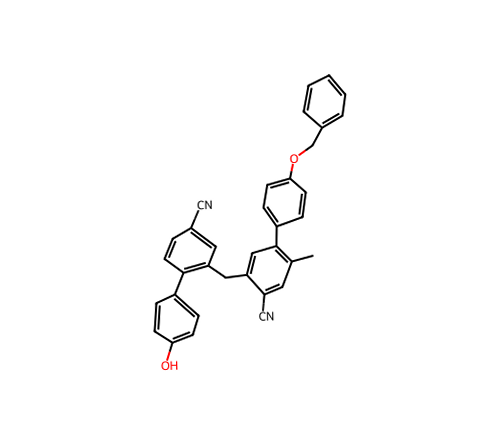 Cc1cc(C#N)c(Cc2cc(C#N)ccc2-c2ccc(O)cc2)cc1-c1ccc(OCc2ccccc2)cc1